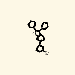 Brc1cccc(-c2ccc3c(-c4ccccc4)c(-c4ccccc4)oc3c2)c1